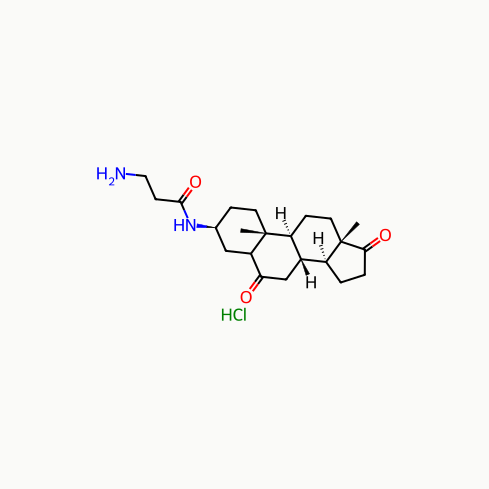 C[C@]12CC[C@H](NC(=O)CCN)CC1C(=O)C[C@@H]1[C@@H]2CC[C@]2(C)C(=O)CC[C@@H]12.Cl